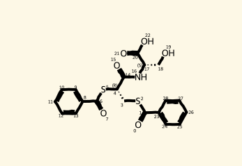 O=C(SC[C@H](SC(=O)c1ccccc1)C(=O)N[C@@H](CO)C(=O)O)c1ccccc1